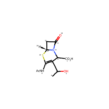 CC(=O)NC1=C(C(C)O)C(C(=O)O)N2C(=O)C[C@H]2S1